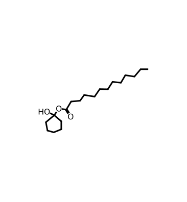 CCCCCCCCCCCCC(=O)OC1(O)CCCCC1